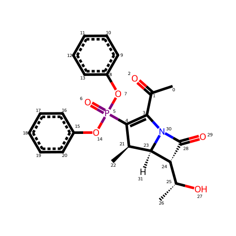 CC(=O)C1=C(P(=O)(Oc2ccccc2)Oc2ccccc2)[C@H](C)[C@@H]2[C@@H]([C@@H](C)O)C(=O)N12